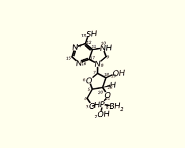 B[PH]1(O)OCC2OC(N3CNc4c(S)ncnc43)C(O)[C@@H]2O1